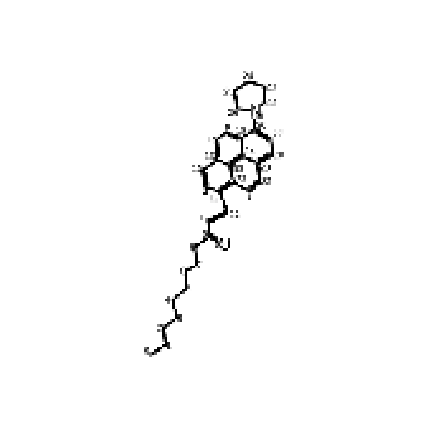 CCCCCCCCCC(=O)/C=C/c1ccc2ccc3c(N4CCCCC4)ccc4ccc1c2c43